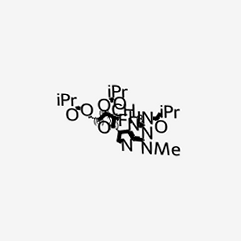 CNc1nc(NC(=O)C(C)C)nc2c1N=CC2[C@@H]1O[C@H](COC(=O)C(C)C)[C@@H](OC(=O)C(C)C)[C@@]1(C)F